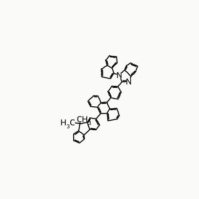 CC1(C)c2ccccc2-c2ccc(-c3c4ccccc4c(-c4ccc(-c5nc6ccccc6n5-c5cccc6ccccc56)cc4)c4ccccc34)cc21